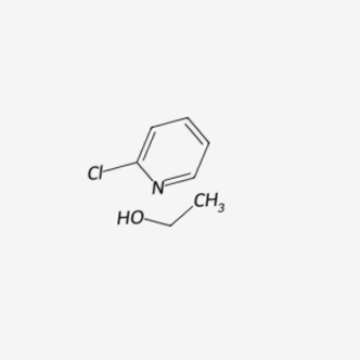 CCO.Clc1ccccn1